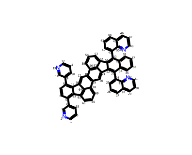 c1cncc(-c2ccc(-c3cccnc3)c3c4cc5c(cc6c7c(-c8cccc9cccnc89)c8ccccc8c(-c8cccc9cccnc89)c7c7cccc5c76)c5cccc(c23)c54)c1